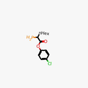 CCCCCCC(P)C(=O)Oc1ccc(Cl)cc1